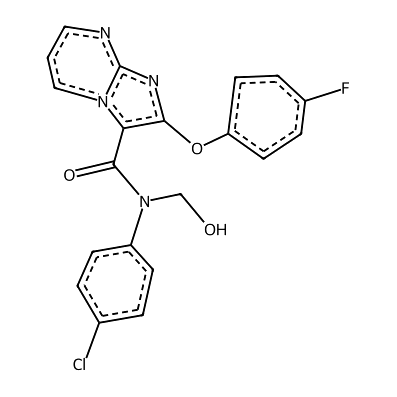 O=C(c1c(Oc2ccc(F)cc2)nc2ncccn12)N(CO)c1ccc(Cl)cc1